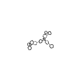 C1=CC(N(C2=CC=C3Oc4ccccc4C3C2)c2ccc(C3C=Cc4c(ccc5oc6ccccc6c45)C3)cc2)CC=C1c1ccccc1